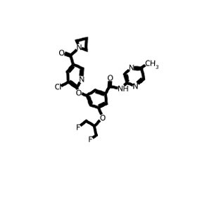 Cc1cnc(NC(=O)c2cc(Oc3ncc(C(=O)N4CCC4)cc3Cl)cc(OC(CF)CF)c2)cn1